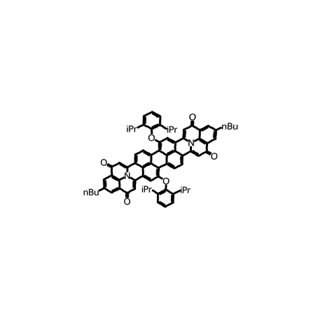 CCCCc1cc2c(=O)cc3c4ccc5c6c(Oc7c(C(C)C)cccc7C(C)C)cc7c8c(ccc(c9c(Oc%10c(C(C)C)cccc%10C(C)C)cc(c4c59)c4cc(=O)c(c1)c2n34)c68)c1cc(=O)c2cc(CCCC)cc3c(=O)cc7n1c23